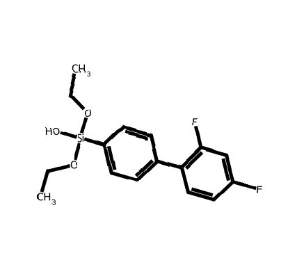 CCO[Si](O)(OCC)c1ccc(-c2ccc(F)cc2F)cc1